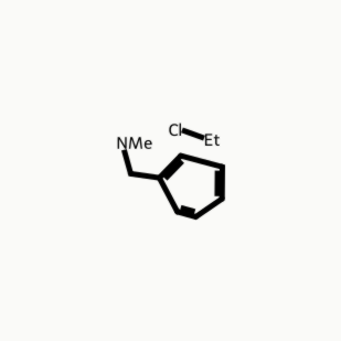 CCCl.CNCc1ccccc1